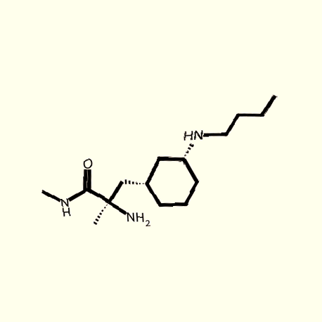 CCCCN[C@@H]1CCC[C@H](C[C@@](C)(N)C(=O)NC)C1